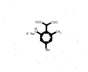 Cc1cc(C(C)(C)C)cc(C)c1C(C(=O)[O-])C(=O)[O-].[K+].[Na+]